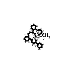 C=C1C2C(CCc3ccccc3-c3ccc(-c4ccccc4)c[n+]31)c1ccccc1-c1ccc(C)c[n+]12